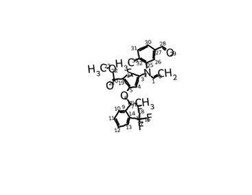 C=CN(c1cc(O[C@H](C)c2ccccc2C(F)(F)F)c(C(=O)OC)s1)c1cc(C=O)ccc1C